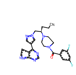 N#CCC[C@H](Cn1cc(-c2ncnc3[nH]ccc23)cn1)N1CCN(C(=O)c2cc(F)cc(F)c2)CC1